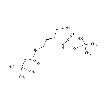 CC(C)(C)OC(=O)NCC[C@@H](CN)NC(=O)OC(C)(C)C